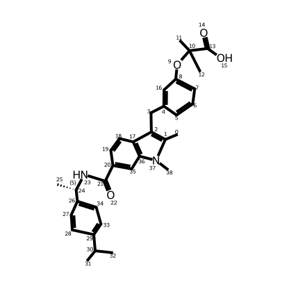 Cc1c(Cc2cccc(OC(C)(C)C(=O)O)c2)c2ccc(C(=O)N[C@@H](C)c3ccc(C(C)C)cc3)cc2n1C